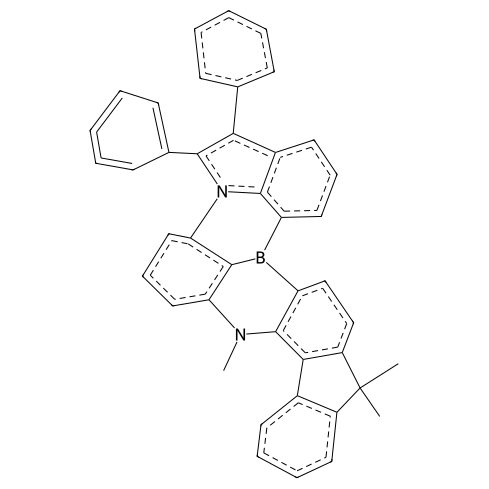 CN1c2cccc3c2B(c2ccc4c(c21)-c1ccccc1C4(C)C)c1cccc2c(-c4ccccc4)c(C4=CC=C=C=C4)n-3c12